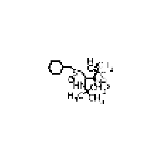 CC(C)(C)NC(C[S+]([O-])CC1CCCCC1)C(=O)C(C)(C)C